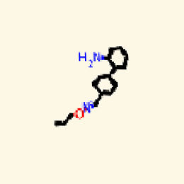 C=CCO/N=C/c1ccc(-c2ccccc2N)cc1